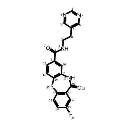 O=C(NCCc1cncnc1)c1ccc2c(c1)NC(=O)c1cc(F)ccc1S2